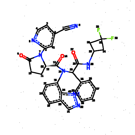 N#Cc1ccnc(N2C(=O)CC[C@H]2C(=O)N(c2cccc3cn[nH]c23)C(C(=O)NC2CC(F)(F)C2)c2ccccc2)c1